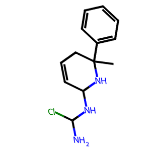 CC1(c2ccccc2)CC=CC(NC(N)Cl)N1